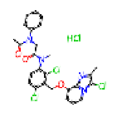 CC(=O)N(CC(=O)N(C)c1ccc(Cl)c(COc2cccn3c(Cl)c(C)nc23)c1Cl)c1ccccc1.Cl